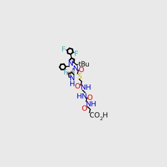 CC(C)(C)C(c1cc(-c2cc(F)ccc2F)cn1Cc1ccccc1)N(C[C@@H]1CNC[C@@H]1F)C(=O)CSCCC(=O)NCCNC(=O)CNC(=O)CCC(=O)O